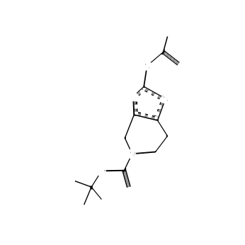 CC(=O)Nc1nc2c(s1)CN(C(=O)OC(C)(C)C)CC2